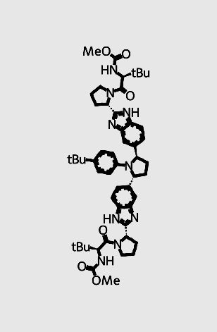 COC(=O)N[C@H](C(=O)N1CCC[C@H]1c1nc2cc([C@H]3CC[C@H](c4ccc5[nH]c([C@@H]6CCCN6C(=O)[C@@H](NC(=O)OC)C(C)(C)C)nc5c4)N3c3ccc(C(C)(C)C)cc3)ccc2[nH]1)C(C)(C)C